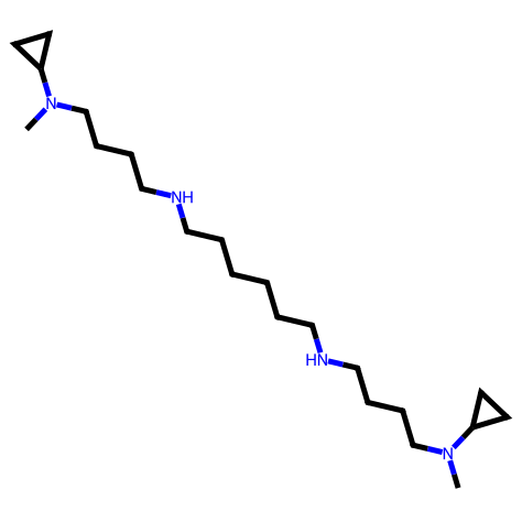 CN(CCCCNCCCCCCNCCCCN(C)C1CC1)C1CC1